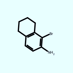 Nc1ccc2c(c1Br)CCCC2